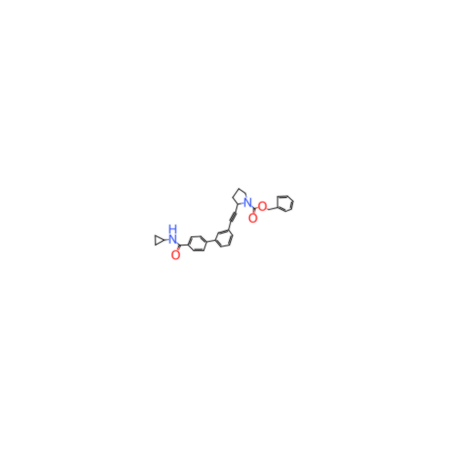 O=C(NC1CC1)c1ccc(-c2cccc(C#CC3CCCN3C(=O)OCc3ccccc3)c2)cc1